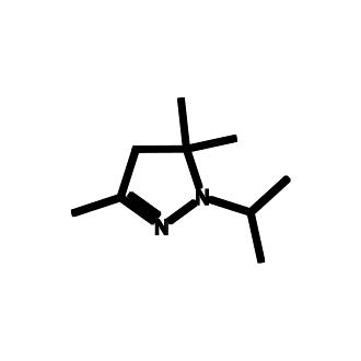 CC1=NN(C(C)C)C(C)(C)C1